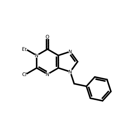 CCn1c(Cl)nc2c(ncn2Cc2ccccc2)c1=O